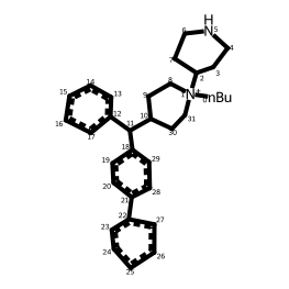 CCCC[N+]1(C2CCNCC2)CCC(C(c2ccccc2)c2ccc(-c3ccccc3)cc2)CC1